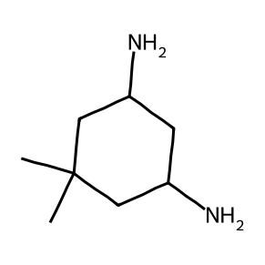 CC1(C)CC(N)CC(N)C1